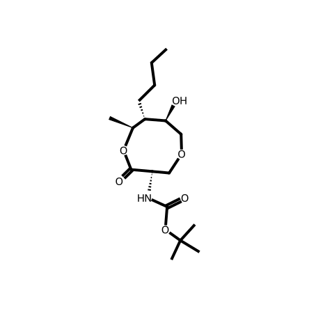 CCCC[C@H]1[C@H](C)OC(=O)[C@@H](NC(=O)OC(C)(C)C)COC[C@@H]1O